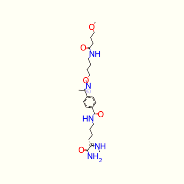 CN[C@@H](CCCCNC(=O)c1ccc(/C(C)=N/OCCCCNC(=O)CCCOC)cc1)C(N)=O